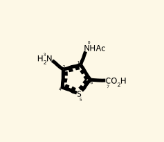 CC(=O)Nc1c(N)csc1C(=O)O